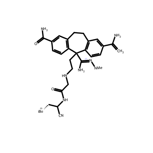 C=C(N)c1ccc2c(c1)CCc1cc(C(N)=O)ccc1C2(CCNCC(=O)NC(C#N)C[C@@H](C)CC)/C(N)=N/NC